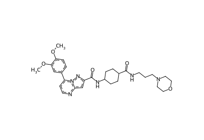 COc1ccc(-c2ccnc3cc(C(=O)NC4CCC(C(=O)NCCCN5CCOCC5)CC4)nn23)cc1OC